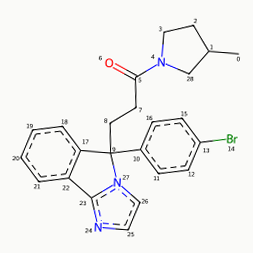 CC1CCN(C(=O)CCC2(c3ccc(Br)cc3)c3ccccc3-c3nccn32)C1